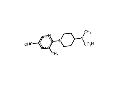 Cc1cc(C=O)cnc1N1CCC(N(C)C(=O)O)CC1